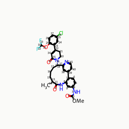 COC(=O)Nc1ccc2c(c1)NC(=O)[C@H](C)CCC[C@H](N1CCC(c3cc(Cl)ccc3OC(F)F)=CC1=O)c1cc-2ccn1